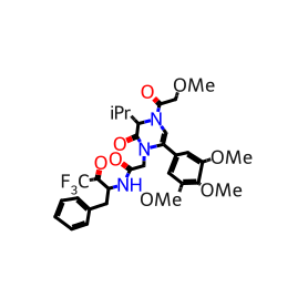 COCC(=O)N1C=C(c2cc(OC)c(OC)c(OC)c2)N(CC(=O)NC(Cc2ccccc2)C(=O)C(F)(F)F)C(=O)C1C(C)C